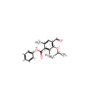 Cc1cc(C=O)c(OC(C)C)c(C)c1C(=O)Oc1ccccc1